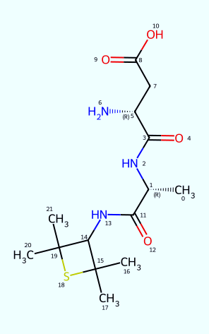 C[C@@H](NC(=O)[C@H](N)CC(=O)O)C(=O)NC1C(C)(C)SC1(C)C